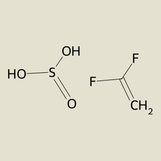 C=C(F)F.O=S(O)O